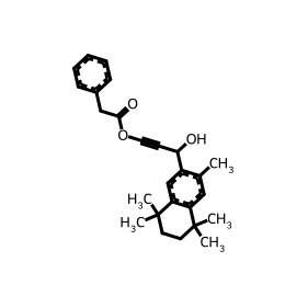 Cc1cc2c(cc1C(O)C#COC(=O)Cc1ccccc1)C(C)(C)CCC2(C)C